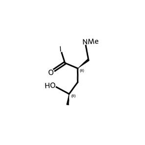 CNC[C@@H](C[C@@H](C)O)C(=O)I